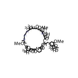 [2H]C([2H])([2H])[C@@H]1/C=C(\C)[C@@H](O)[C@@H](OC)C(=O)[C@H](C)C([2H])(C)[C@]([2H])(C)/C=C/C=C/C=C(\C)[C@@H](OC)C[C@@H]2CC([2H])([2H])[C@@H](C)[C@@](O)(O2)C(=O)C(=O)N2CCCC[C@H]2C(=O)O[C@H]([C@H](C)C[C@@H]2CC[C@@H](OP(C)(=O)C([2H])([2H])[2H])[C@H](OC)C2)CC1=O